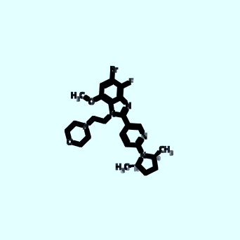 COc1cc(Br)c(F)c2nc(-c3ccc(N4[C@@H](C)CC[C@@H]4C)nc3)n(CCN3CCOCC3)c12